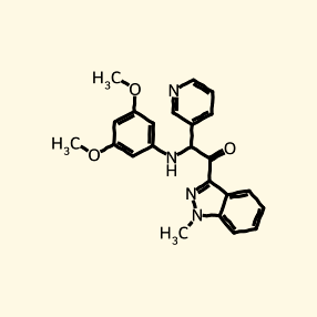 COc1cc(NC(C(=O)c2nn(C)c3ccccc23)c2cccnc2)cc(OC)c1